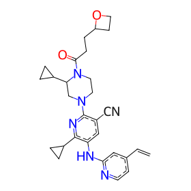 C=Cc1ccnc(Nc2cc(C#N)c(N3CCN(C(=O)CCC4CCO4)C(C4CC4)C3)nc2C2CC2)c1